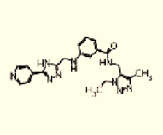 CCn1nnc(C)c1CNC(=O)c1cccc(NCc2nnc(-c3ccncc3)[nH]2)c1